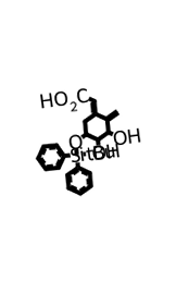 C=C1C(=CC(=O)O)CC(O[Si](c2ccccc2)(c2ccccc2)C(C)(C)C)C(O)C1O